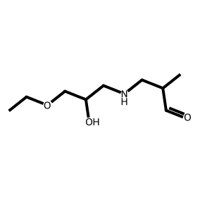 CCOCC(O)CNCC(C)C=O